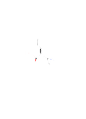 CC/C=C(\C(=O)O)C1CN1